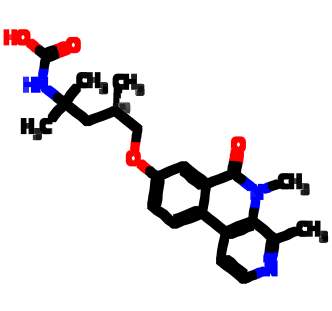 Cc1nccc2c3ccc(OC[C@@H](C)CC(C)(C)NC(=O)O)cc3c(=O)n(C)c12